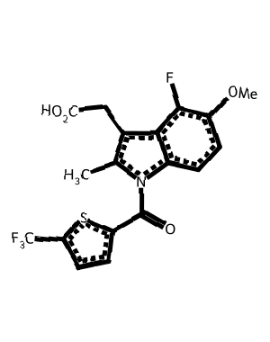 COc1ccc2c(c1F)c(CC(=O)O)c(C)n2C(=O)c1ccc(C(F)(F)F)s1